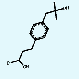 CCC(O)CCc1ccc(CC(C)(C)O)cc1